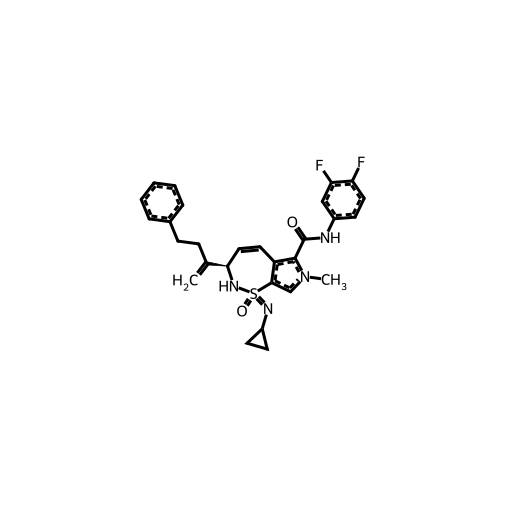 C=C(CCc1ccccc1)[C@H]1C=Cc2c(cn(C)c2C(=O)Nc2ccc(F)c(F)c2)S(=O)(=NC2CC2)N1